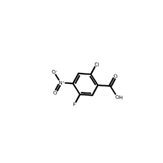 O=C(O)c1cc(F)c([N+](=O)[O-])cc1Cl